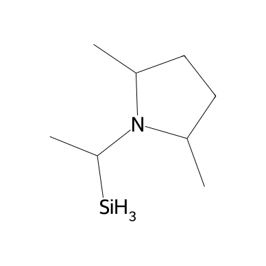 CC([SiH3])N1C(C)CCC1C